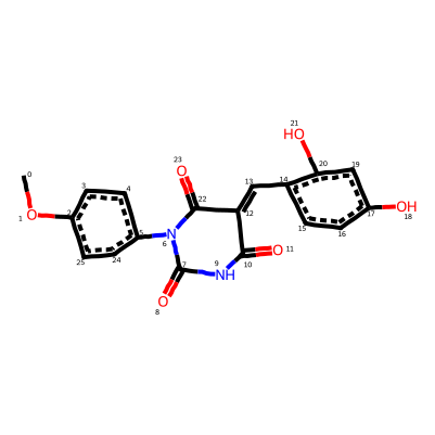 COc1ccc(N2C(=O)NC(=O)C(=Cc3ccc(O)cc3O)C2=O)cc1